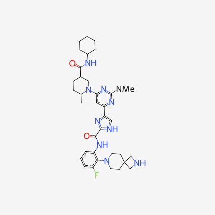 CNc1nc(-c2c[nH]c(C(=O)Nc3cccc(F)c3N3CCC4(CC3)CNC4)n2)cc(N2CC(C(=O)NC3CCCCC3)CCC2C)n1